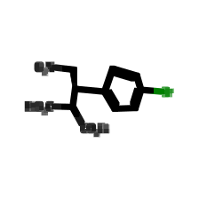 CCOC(=O)C(C(=O)OCC)[C@@H](C[N+](=O)[O-])c1ccc(Br)cc1